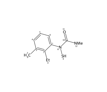 CCc1c(C)cccc1N(S)C(=O)NC